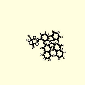 CC1(C)OB(c2ccc3c(c2)S(c2ccc4ccccc4c2)(c2ccc4ccccc4c2)c2ccccc2-3)OC1(C)C